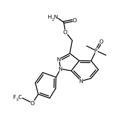 CP(C)(=O)c1ccnc2c1c(COC(N)=O)nn2-c1ccc(OC(F)(F)F)cc1